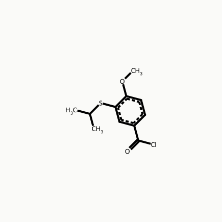 COc1ccc(C(=O)Cl)cc1SC(C)C